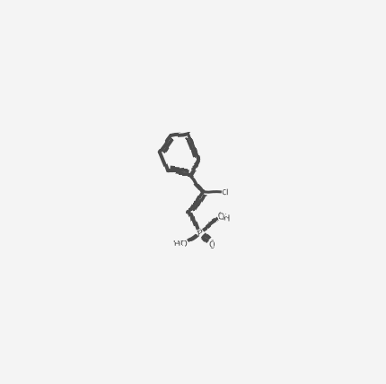 O=P(O)(O)C=C(Cl)c1ccccc1